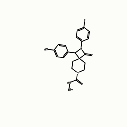 CCCCNC(=O)N1CCC2(CC1)C(=O)N(c1ccc(F)cc1)C2c1ccc(O)cc1